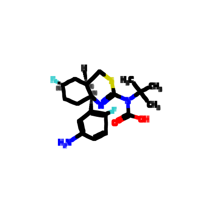 CC(C)(C)N(C(=O)O)C1=N[C@@]2(c3cc(N)ccc3F)CC[C@H](F)C[C@H]2CS1